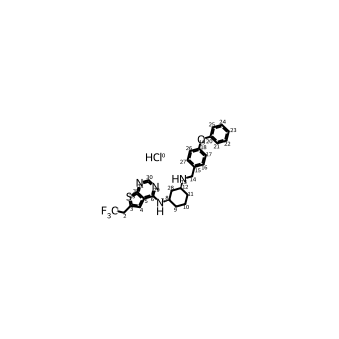 Cl.FC(F)(F)Cc1cc2c(N[C@@H]3CCC[C@H](NCc4ccc(Oc5ccccc5)cc4)C3)ncnc2s1